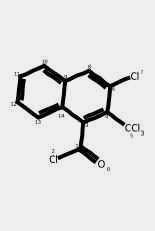 O=C(Cl)c1c(C(Cl)(Cl)Cl)c(Cl)cc2ccccc12